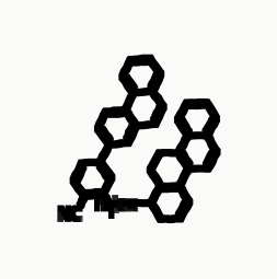 CCCCCCC1CC=CC2=C1CCc1c2ccc2ccccc12.N#Cc1ccc(-c2ccc3c(ccc4ccccc43)c2)cc1F